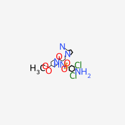 COC(=O)C1CCN(C(=O)C(CCn2cccc2C#N)NS(=O)(=O)c2cc(Cl)c(N)c(Cl)c2)CC1